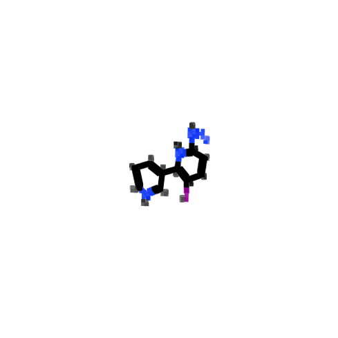 Nc1ccc(I)c(-c2cccnc2)n1